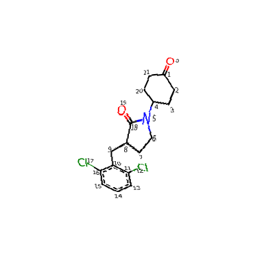 O=C1CCC(N2CCC(Cc3c(Cl)cccc3Cl)C2=O)CC1